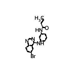 CC=CC(=O)Nc1cccc(Nc2ncnc3ccc(Br)cc23)c1